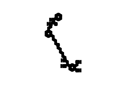 O=C(NCCc1cccc(CCCCOCCCCCCNC[C@@H](O)c2ccc(O)c(CO)c2)c1)Nc1ccccc1